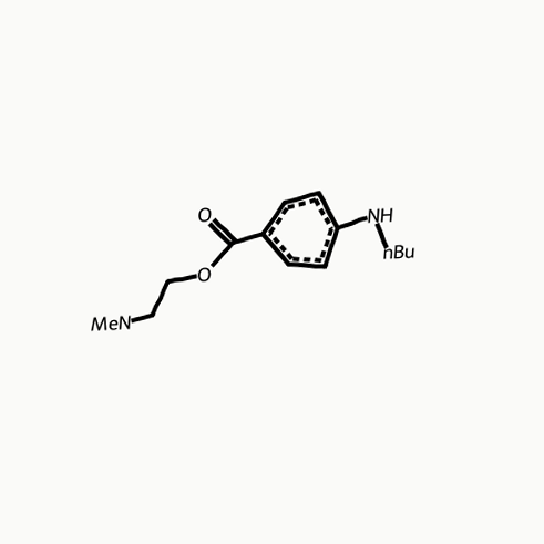 CCCCNc1ccc(C(=O)OCCNC)cc1